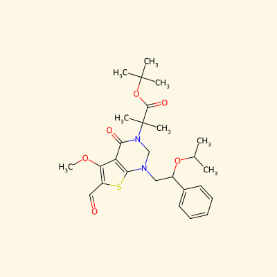 COc1c(C=O)sc2c1C(=O)N(C(C)(C)C(=O)OC(C)(C)C)CN2CC(OC(C)C)c1ccccc1